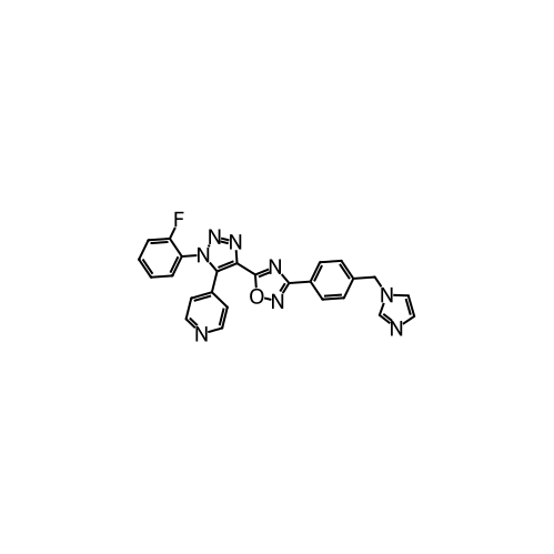 Fc1ccccc1-n1nnc(-c2nc(-c3ccc(Cn4ccnc4)cc3)no2)c1-c1ccncc1